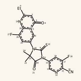 CCc1cc(=O)n2cc(N3C(=S)N(c4cnc(C#N)c(F)c4)C(=O)C3(C)C)cc(F)c2n1